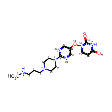 O=C(O)NCCCN1CCN(c2ncc(On3ccc(=O)[nH]c3=O)cn2)CC1